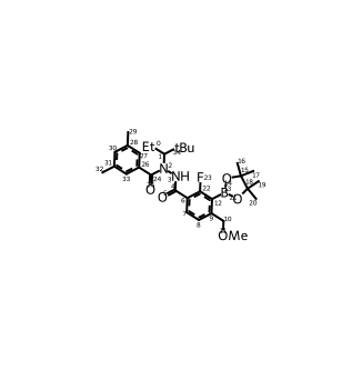 CCC(N(NC(=O)c1ccc(COC)c(B2OC(C)(C)C(C)(C)O2)c1F)C(=O)c1cc(C)cc(C)c1)C(C)(C)C